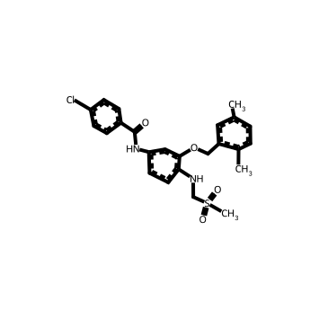 Cc1ccc(C)c(COc2cc(NC(=O)c3ccc(Cl)cc3)ccc2NCS(C)(=O)=O)c1